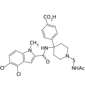 CC(=O)NSN1CCC(NC(=O)c2cc3c(Cl)c(Cl)ccc3n2C)(c2ccc(C(=O)O)cc2)CC1